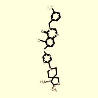 C[C@@H]1OCC2(CCN(c3cnc(Sc4ccc5ncn(Cc6cccc(C(F)(F)F)c6)c(=O)c5c4Cl)cn3)CC2)[C@@H]1N